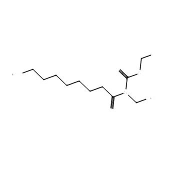 CCCCCCCCCCCCCCCCCC(=O)N(CO)C(=O)NCO